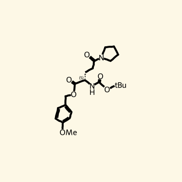 COc1ccc(COC(=O)[C@H](CCC(=O)N2CCCC2)NC(=O)OC(C)(C)C)cc1